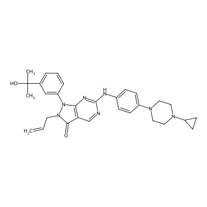 C=CCn1c(=O)c2cnc(Nc3ccc(N4CCN(C5CC5)CC4)cc3)nc2n1-c1cccc(C(C)(C)O)c1